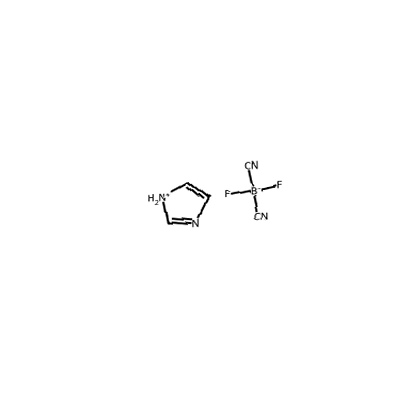 C1=C[NH2+]C=N1.N#C[B-](F)(F)C#N